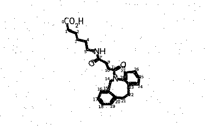 O=C(O)CCCCCNC(=O)CCC(=O)N1Cc2ccccc2CCc2ccccc21